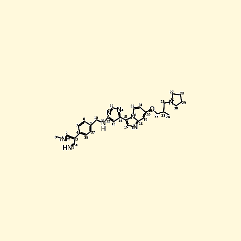 CN/C=C(\C=N)c1ccc(CNc2cc(-c3cnc4cc(OCC(C)CN5CCCC5)ccn34)ncn2)cc1